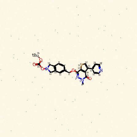 Cn1nc(OCc2ccc3c(c2)CN(OC(=O)OC(C)(C)C)C3)c2scc(-c3ccncc3)c2c1=O